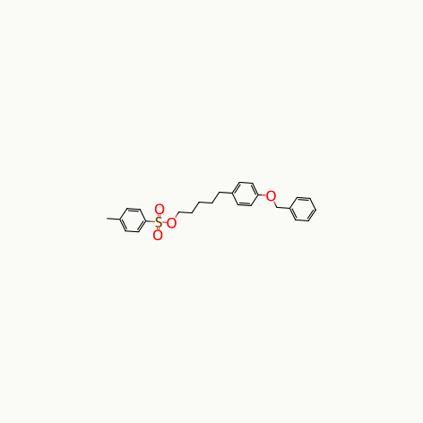 Cc1ccc(S(=O)(=O)OCCCCCc2ccc(OCc3ccccc3)cc2)cc1